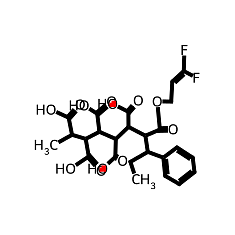 CCC(c1ccccc1)C(C(=O)OCC=C(F)F)C(C(=O)O)C(C(=O)O)C(C(=O)O)C(C(=O)O)C(C)C(=O)O